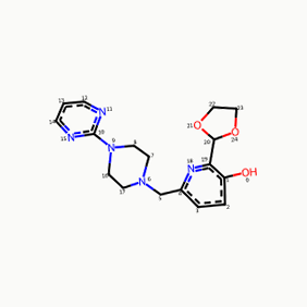 Oc1ccc(CN2CCN(c3ncccn3)CC2)nc1C1OCCO1